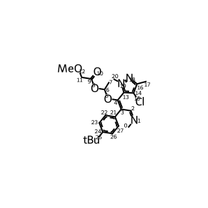 C/N=C\C(=C(\OC(C)OC(=O)COC)c1c(Cl)c(C)nn1C)c1ccc(C(C)(C)C)cc1